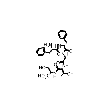 C[C@H](O)[C@@H](NC(=O)CNC(=O)[C@@H](Cc1ccccc1)NC(=O)[C@H](N)Cc1ccccc1)C(=O)N[C@H](CO)C(=O)O